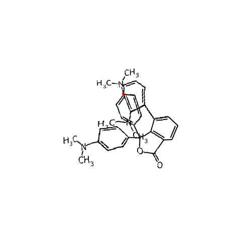 CN(C)c1ccc(C2(c3ccc(N(C)C)cc3)OC(=O)c3cccc(-c4ccccc4N(C)C)c32)cc1